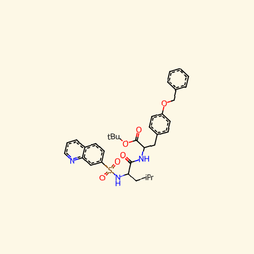 CC(C)CC(NS(=O)(=O)c1ccc2cccnc2c1)C(=O)NC(Cc1ccc(OCc2ccccc2)cc1)C(=O)OC(C)(C)C